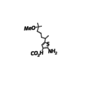 COC(C)(C)CCCC(C)c1cc(C(=O)O)c(N)s1